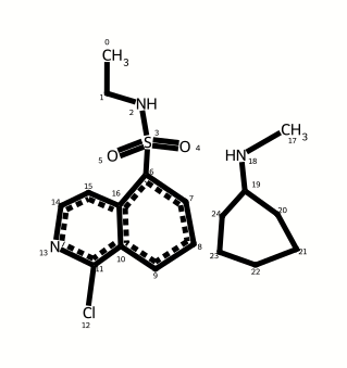 CCNS(=O)(=O)c1cccc2c(Cl)nccc12.CNC1CCCCC1